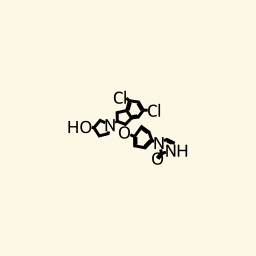 O=c1[nH]ccn1-c1ccc(O[C@H]2c3cc(Cl)cc(Cl)c3C[C@@H]2N2CCC(O)C2)cc1